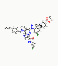 COc1ccc(CN(C)c2cc(Nc3cc(F)cc(-c4ccc(C5OCCO5)cn4)c3OC)nn3c(C(=O)N[C@@H]4C[C@@H]4F)cnc23)cc1